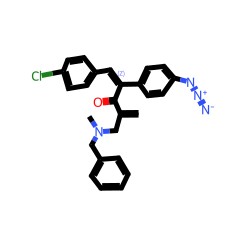 C=C(CN(C)Cc1ccccc1)C(=O)/C(=C\c1ccc(Cl)cc1)c1ccc(N=[N+]=[N-])cc1